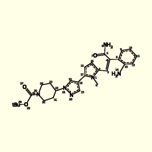 Cn1c(C=C(C(N)=O)c2ccccc2N)ccc1-c1cnn(C2CCN(C(=O)OC(C)(C)C)CC2)c1